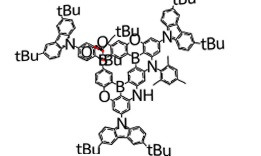 Cc1cc(C)c(N2c3cc4c(cc3B3c5cc6c(cc5Oc5cc(-n7c8ccc(C(C)(C)C)cc8c8cc(C(C)(C)C)ccc87)cc2c53)Oc2cc(-n3c5ccc(C(C)(C)C)cc5c5cc(C(C)(C)C)ccc53)cc3c2B6c2cc(C(C)(C)C)ccc2O3)B2c3cc(C(C)(C)C)ccc3Oc3cc(-n5c6ccc(C(C)(C)C)cc6c6cc(C(C)(C)C)ccc65)cc(c32)N4)c(C)c1